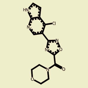 O=C(c1nc(-c2cnc3[nH]ccc3c2Cl)no1)N1CCOCC1